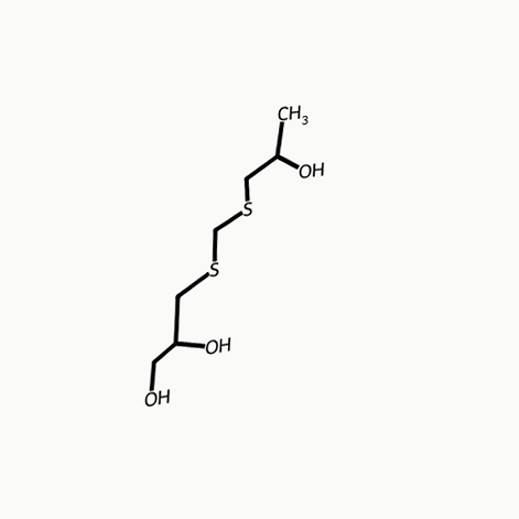 CC(O)CSCSCC(O)CO